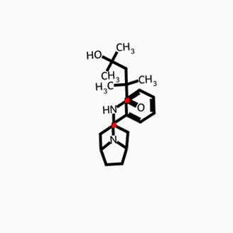 CC(C)(O)CC(C)(C)C(=O)NC1CC2CCC(C1)N2Cc1ccccc1